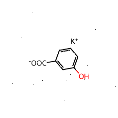 O=C([O-])c1cccc(O)c1.[K+]